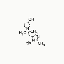 Cc1ncc(CC(C)(C)N2CC[C@@H](O)C2)n1C(C)(C)C